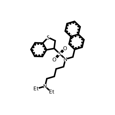 CCN(CC)CCCCN(Cc1ccc2ccccc2c1)S(=O)(=O)C1CSc2ccccc21